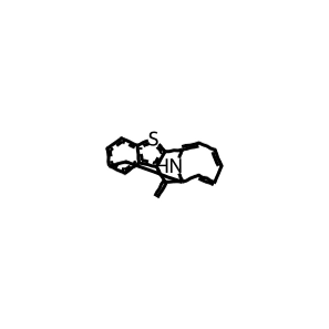 C=C1c2c3sc4ccc(cc24)CC12/C=C/C=C\C=C\3N2